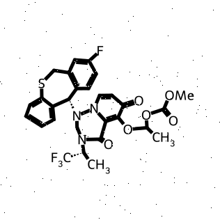 COC(=O)OC(C)Oc1c2n(ccc1=O)N([C@H]1c3ccc(F)cc3CSc3ccccc31)CN([C@H](C)C(F)(F)F)C2=O